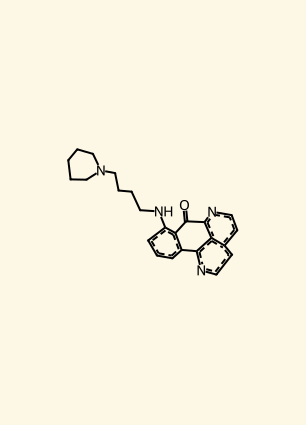 O=C1c2c(NCCCCN3CCCCC3)cccc2-c2nccc3ccnc1c23